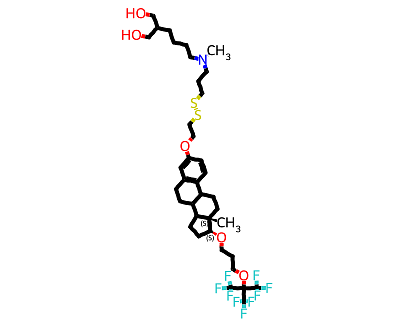 CN(CCCCC(CO)CO)CCCSSCCOc1ccc2c(c1)CCC1C2CC[C@@]2(C)C1CC[C@@H]2OCCCOC(C(F)(F)F)(C(F)(F)F)C(F)(F)F